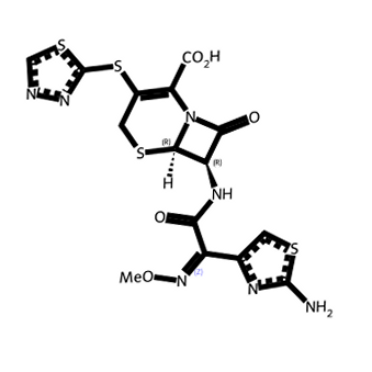 CO/N=C(\C(=O)N[C@@H]1C(=O)N2C(C(=O)O)=C(Sc3nncs3)CS[C@H]12)c1csc(N)n1